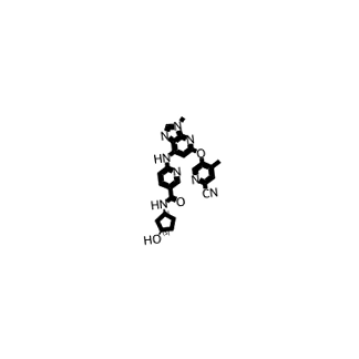 Cc1cc(C#N)ncc1Oc1cc(Nc2ccc(C(=O)N[C@@H]3CC[C@H](O)C3)cn2)c2ncn(C)c2n1